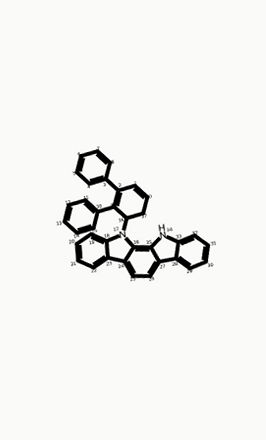 C1=CC(c2ccccc2)=C(c2ccccc2)C(n2c3ccccc3c3ccc4c5ccccc5[nH]c4c32)C1